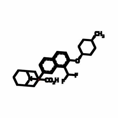 C[C@H]1CC[C@@H](Oc2ccc3ccc(CN4C5CCCC4CC(C(=O)O)C5)cc3c2C(F)F)CC1